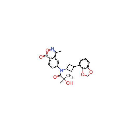 Cc1noc(=O)c2ccc(N(C(=O)C(C)(O)C(F)(F)F)C3CC(c4cccc5c4OCO5)C3)cc12